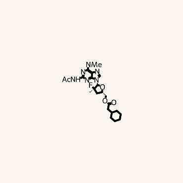 CNc1nc(NC(C)=O)nc2c1ncn2[C@@H]1O[C@H](COC(=O)CC2CCCCC2)C[C@@]1(C)F